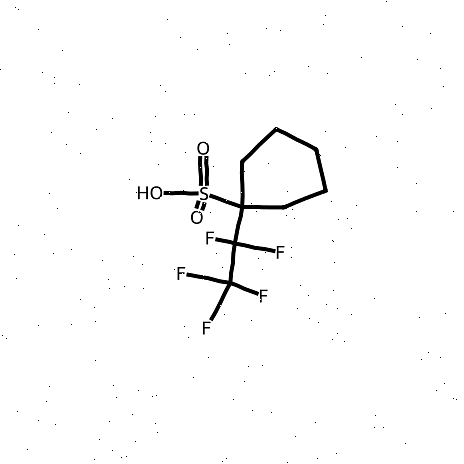 O=S(=O)(O)C1(C(F)(F)C(F)(F)F)CCCCC1